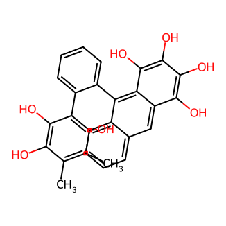 Cc1c(C)c(O)c(-c2ccccc2-c2c3ccccc3cc3c(O)c(O)c(O)c(O)c23)c(O)c1O